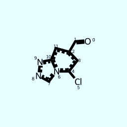 O=Cc1cc(Cl)n2cnnc2c1